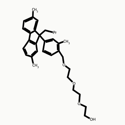 Cc1ccc2c(c1)C(CC(C)C)(c1ccc(COCCOCCOCCO)c(C)c1)c1cc(C)ccc1-2